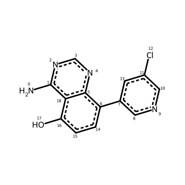 Nc1ncnc2c(-c3cncc(Cl)c3)ccc(O)c12